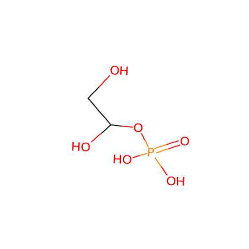 O=P(O)(O)OC(O)CO